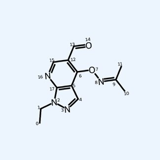 CCn1ncc2c(ON=C(C)C)c(C=O)cnc21